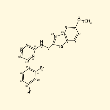 COc1ccc2sc(CNc3nncc(-c4ccc(F)cc4Br)n3)nc2c1